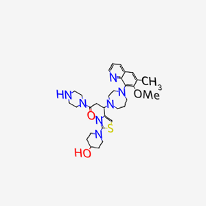 COc1c(C)cc2cccnc2c1N1CCCN(C(CC(=O)N2CCNCC2)c2csc(N3CCC(O)CC3)n2)CC1